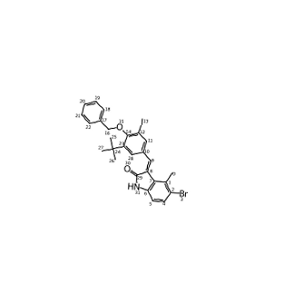 Cc1c(Br)ccc2c1C(=Cc1cc(I)c(OCc3ccccc3)c(C(C)(C)C)c1)C(=O)N2